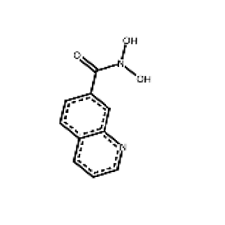 O=C(c1ccc2cccnc2c1)N(O)O